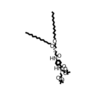 CCCCCCCCCCCCCCOCC(CSCCC(=O)Nc1ccc(C(=O)N[C@@H](CCC(=O)OC(C)(C)C)C(=O)OC(C)(C)C)cc1)OCCCCCCCCCCCCCC